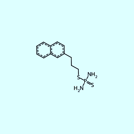 NP(N)(=S)SCCCc1ccc2ccccc2c1